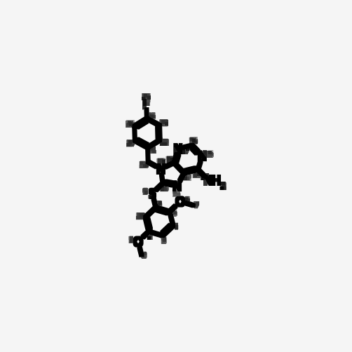 COc1ccc(OC)c(Sc2nc3c(N)ncnc3n2Cc2ccc(F)cc2)c1